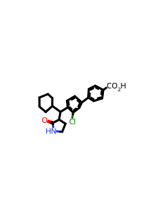 O=C(O)c1ccc(-c2ccc(C(C3CCCCC3)C3CCNC3=O)c(Cl)c2)cc1